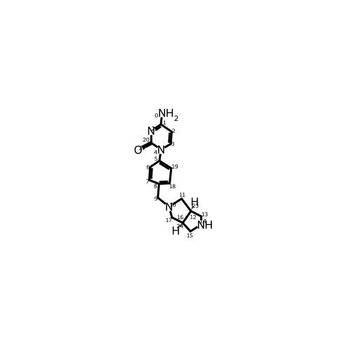 Nc1ccn(-c2ccc(CN3C[C@H]4CNC[C@H]4C3)cc2)c(=O)n1